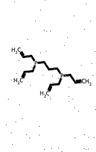 C=CCP(CC=C)CCCP(CC=C)CC=C